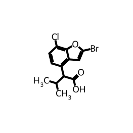 CC(C)C(C(=O)O)c1ccc(Cl)c2oc(Br)cc12